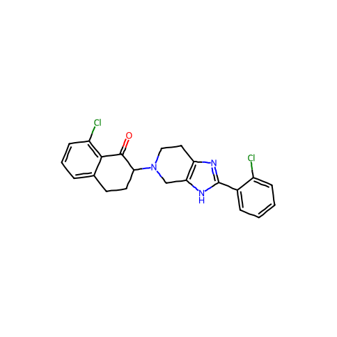 O=C1c2c(Cl)cccc2CCC1N1CCc2nc(-c3ccccc3Cl)[nH]c2C1